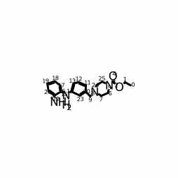 CCOC(=O)N1CCN(Cc2cccc(Nc3ccccc3N)c2)CC1